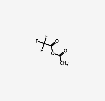 [CH2]C(=O)OC(=O)C(F)(F)F